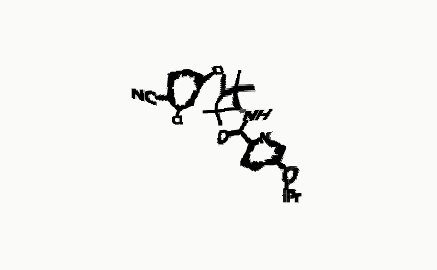 CC(C)Oc1ccc(C(=O)N[C@H]2C(C)(C)[C@H](Oc3ccc(C#N)c(Cl)c3)C2(C)C)nc1